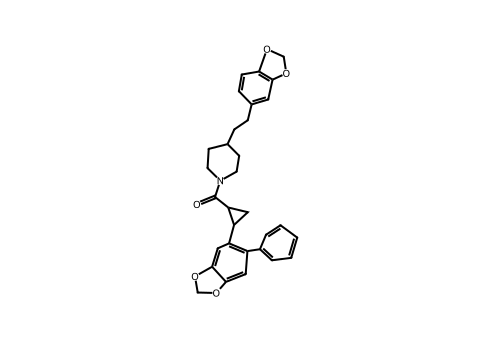 O=C(C1CC1c1cc2c(cc1-c1ccccc1)OCO2)N1CCC(CCc2ccc3c(c2)OCO3)CC1